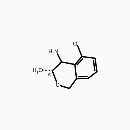 C[C@H]1OCc2cccc(Cl)c2C1N